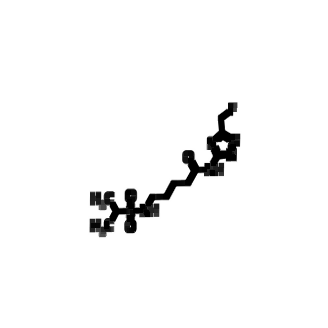 CC(C)S(=O)(=O)NCCCCC(=O)Nc1nnc(CF)s1